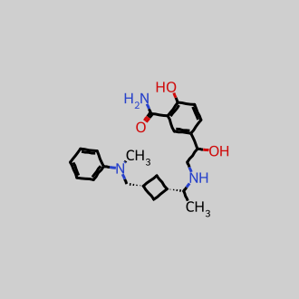 CC(NCC(O)c1ccc(O)c(C(N)=O)c1)[C@H]1C[C@@H](CN(C)c2ccccc2)C1